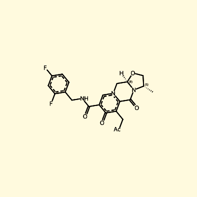 CC(=O)Cc1c2n(cc(C(=O)NCc3ccc(F)cc3F)c1=O)C[C@H]1OC[C@H](C)N1C2=O